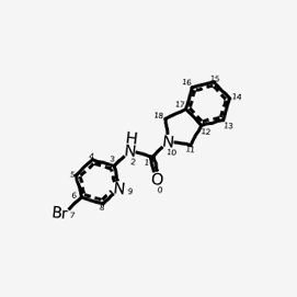 O=C(Nc1ccc(Br)cn1)N1Cc2ccccc2C1